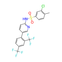 Cc1ccc(S(=O)(=O)Nc2ccc(-c3ccc(C(F)(F)F)cc3C(F)(F)F)cn2)cc1Cl